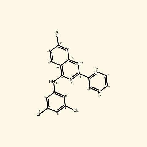 Clc1cc(Cl)cc(Nc2nc(-c3cnccn3)nc3cc(Cl)ccc23)c1